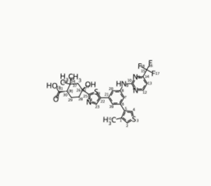 Cc1cscc1-c1cc(Nc2nccc(C(F)(F)F)n2)cc(-c2cnc([C@]3(O)CC[C@@H](C(=O)O)C(C)(C)C3)s2)c1